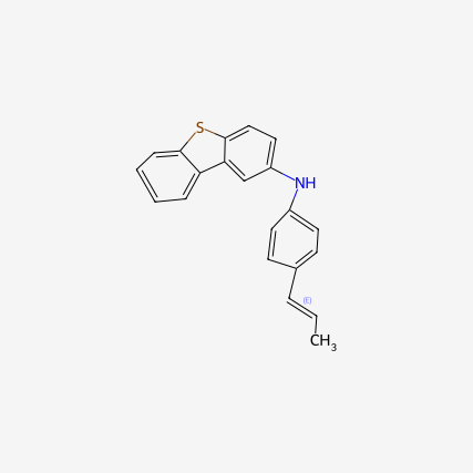 C/C=C/c1ccc(Nc2ccc3sc4ccccc4c3c2)cc1